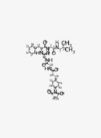 CC(C)CNC(=O)CNC(=O)C(Cc1ccccc1)NC(=O)CNC(=O)CNC(=O)CCc1ccc(N2C(=O)C=CC2=O)cc1